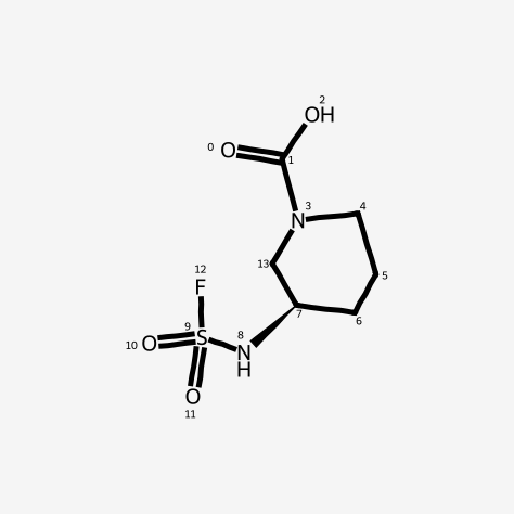 O=C(O)N1CCC[C@@H](NS(=O)(=O)F)C1